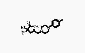 CCC1(CC)CC(CN2CCN(c3ccc(C)cc3)CC2)NC1=O